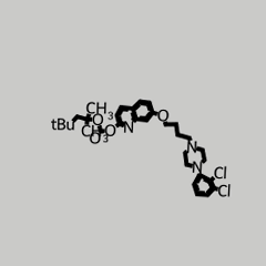 CC(C)(C)CC(C)(C)OC(=O)Oc1ccc2ccc(OCCCCN3CCN(c4cccc(Cl)c4Cl)CC3)cc2n1